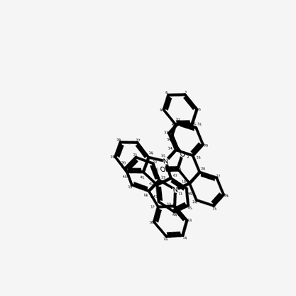 O=C(OCc1ccccc1)C1(n2c3ccccc3c3ccccc32)CC=CC=C1c1ccccc1-n1c2ccccc2c2ccccc21